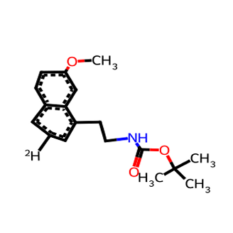 [2H]c1cc(CCNC(=O)OC(C)(C)C)c2cc(OC)ccc2c1